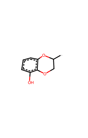 [CH2]C1COc2c(O)cccc2O1